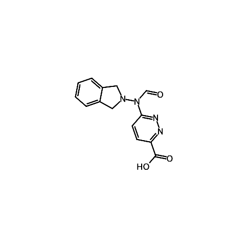 O=CN(c1ccc(C(=O)O)nn1)N1Cc2ccccc2C1